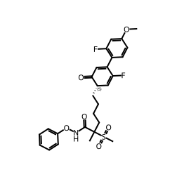 COc1ccc(C2=CC(=O)[C@@H](CCCCC(C)(C(=O)NOc3ccccc3)S(C)(=O)=O)C=C2F)c(F)c1